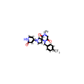 CC(C)N1CC(=O)N(Cc2ccc(C(F)(F)F)cc2)C2(CCN(c3cc[nH]c(=O)c3)C2)C1=O